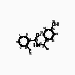 CC(NC(=O)c1ccccc1F)c1ccc(O)cc1